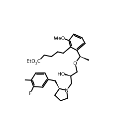 CCOC(=O)CCCCc1c(OC)cccc1[C@@H](C)OC[C@H](O)CN1CCC[C@H]1Cc1ccc(C)c(F)c1